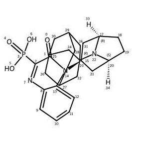 O=c1c(P(=O)(O)O)nc2ccccc2n1[C@H]1C[C@H]2CC[C@@H](C1)N2C12CC3CC(CC(C3)C1)C2